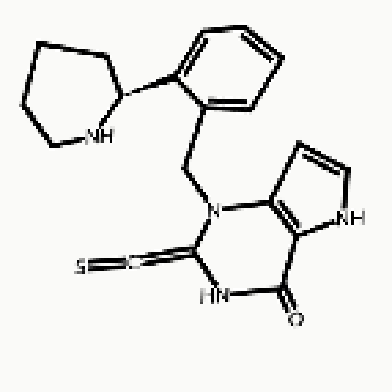 O=C1NC(=C=S)N(Cc2ccccc2[C@@H]2CCCCN2)c2cc[nH]c21